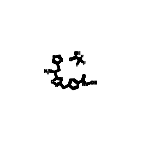 NC(Cc1cscn1)c1nc(Cc2ccc(C(=O)NO)cc2)no1.O=C(O)C(F)(F)F